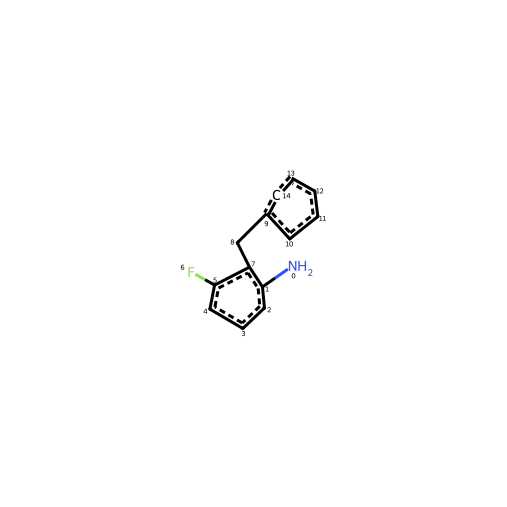 Nc1cccc(F)c1Cc1ccccc1